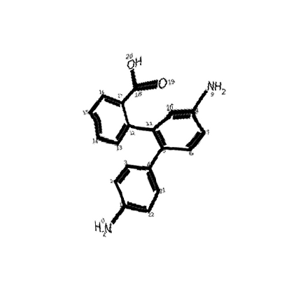 Nc1ccc(-c2ccc(N)cc2-c2ccccc2C(=O)O)cc1